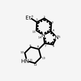 CCc1ccc2ncc(C3CCNCC3)n2c1